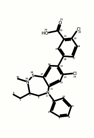 CCC1CN(c2ccccc2)c2cc(Cl)c(-c3ccc(Cl)c(C(=O)O)c3)cc2SN1C